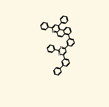 c1ccc(-c2cccc(-c3cc(-c4cccc(-c5cccc6c5ccc5nc(-c7ccccc7)cc(-c7ccccc7)c56)c4)nc(-c4ccccc4)n3)c2)cc1